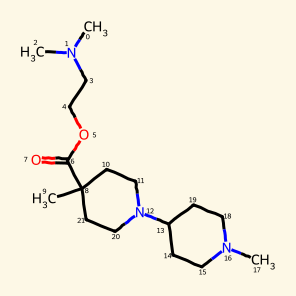 CN(C)CCOC(=O)C1(C)CCN(C2CCN(C)CC2)CC1